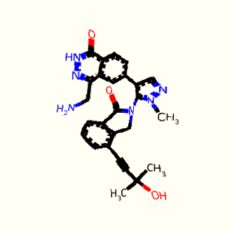 Cn1ncc(-c2ccc3c(=O)[nH]nc(CN)c3c2)c1N1Cc2c(C#CC(C)(C)O)cccc2C1=O